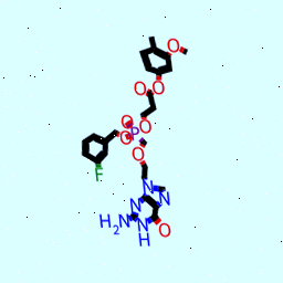 COc1cc(OC(=O)CCOP(=O)(COCCn2cnc3c(=O)[nH]c(N)nc32)OCc2cccc(F)c2)ccc1C